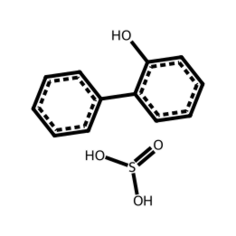 O=S(O)O.Oc1ccccc1-c1ccccc1